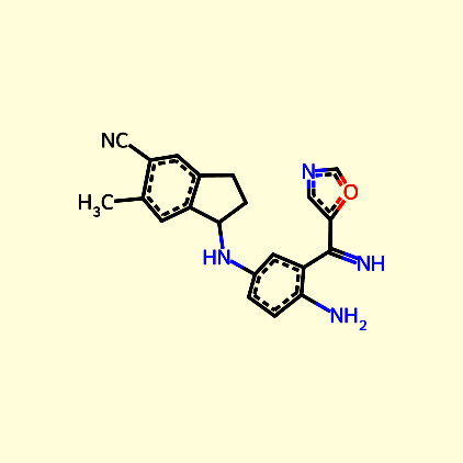 Cc1cc2c(cc1C#N)CCC2Nc1ccc(N)c(C(=N)c2cnco2)c1